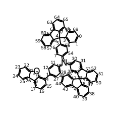 c1ccc(C2(c3ccc(N(c4ccc(-c5cccc6c5oc5ccccc56)cc4)c4ccc5c(c4)C4(c6ccccc6-c6ccccc64)c4ccccc4-5)cc3)c3ccccc3-c3ccccc32)cc1